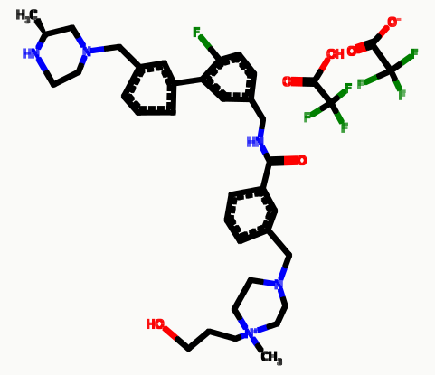 C[C@H]1CN(Cc2cccc(-c3cc(CNC(=O)c4cccc(CN5CC[N+](C)(CCCO)CC5)c4)ccc3F)c2)CCN1.O=C(O)C(F)(F)F.O=C([O-])C(F)(F)F